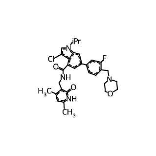 Cc1cc(C)c(CNC(=O)c2cc(-c3ccc(CN4CCOCC4)c(F)c3)cc3c2c(Cl)cn3C(C)C)c(=O)[nH]1